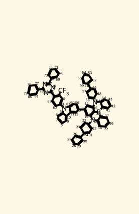 FC(F)(F)c1cc(-n2c3ccccc3c3cc(-c4cc5c6c(c4)N(c4ccc(-c7ccccc7)cc4)c4ccccc4B6c4ccccc4N5c4ccc(-c5ccccc5)cc4)ccc32)ccc1-c1nc(-c2ccccc2)nc(-c2ccccc2)n1